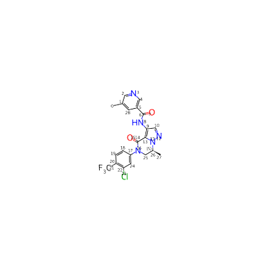 Cc1cncc(C(=O)Nc2cnn3c2C(=O)N(c2ccc(C(F)(F)F)c(Cl)c2)C[C@@H]3C)c1